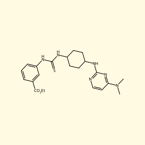 CCOC(=O)c1cccc(NC(=S)NC2CCC(Nc3nccc(N(C)C)n3)CC2)c1